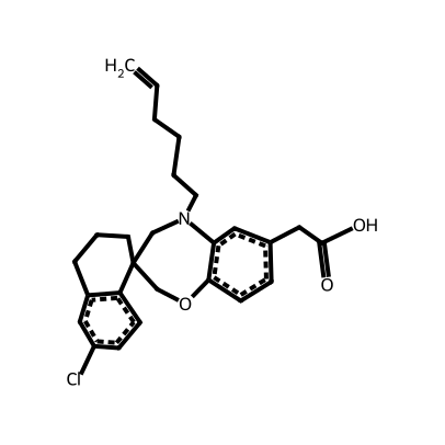 C=CCCCCN1CC2(CCCc3cc(Cl)ccc32)COc2ccc(CC(=O)O)cc21